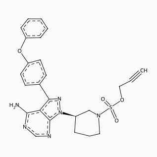 C#CCOS(=O)(=O)N1CCC[C@@H](n2nc(-c3ccc(Oc4ccccc4)cc3)c3c(N)ncnc32)C1